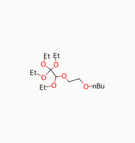 CCCCOCCOC(OCC)C(OCC)(OCC)OCC